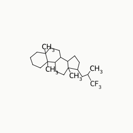 CC(CC1CCC2C3CCC4(C)CCCCC4(C)C3CCC12C)C(F)(F)F